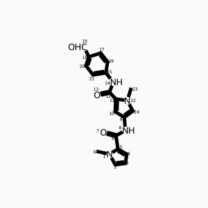 Cn1cccc1C(=O)Nc1cc(C(=O)Nc2ccc(C=O)cc2)n(C)c1